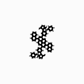 CC1CCC2(C)C1c1cc(-c3cc(-c4cccc5ccccc45)c4ccc5c(-c6ccc7c(c6)C6C(C)CCC6(C)N7c6ccccc6)cc(-c6cccc7ccccc67)c6ccc3c4c56)ccc1N2c1ccccc1